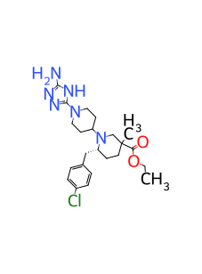 CCOC(=O)C1(C)CC[C@H](Cc2ccc(Cl)cc2)N(C2CCN(c3nnc(N)[nH]3)CC2)C1